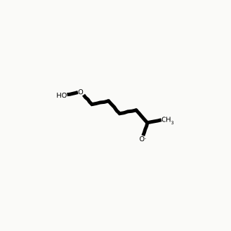 CC([O])CCCCOO